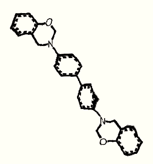 c1ccc2c(c1)CN(c1ccc(-c3ccc(N4COc5ccccc5C4)cc3)cc1)CO2